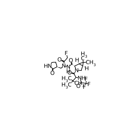 CC(C)(C)C(NC(=O)C(F)(F)F)C(=O)N1C[C@H]2[C@@H]([C@H]1C(=O)NN(C[C@@H]1CCNC1=O)C(=O)CF)C2(C)C